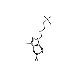 C[Si](C)(C)CCOCn1nc(I)c2cc(Cl)ncc21